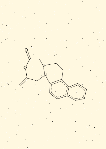 C=C1CN2c3ccc4ccccc4c3CCN2CC(=O)O1